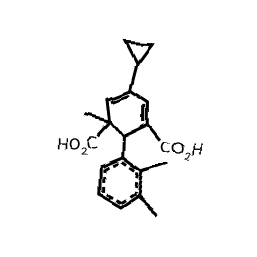 Cc1cccc(C2C(C(=O)O)=CC(C3CC3)=CC2(C)C(=O)O)c1C